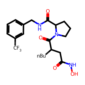 CCCCC(CC(=O)NO)C(=O)N1CCCC1C(=O)NCc1cccc(C(F)(F)F)c1